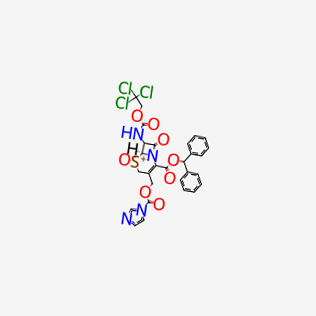 O=C(NC1C(=O)N2C(C(=O)OC(c3ccccc3)c3ccccc3)=C(COC(=O)n3ccnc3)C[S+]([O-])[C@@H]12)OCC(Cl)(Cl)Cl